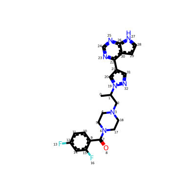 CC(CN1CCN(C(=O)c2ccc(F)cc2F)CC1)n1cc(-c2ncnc3[nH]ccc23)cn1